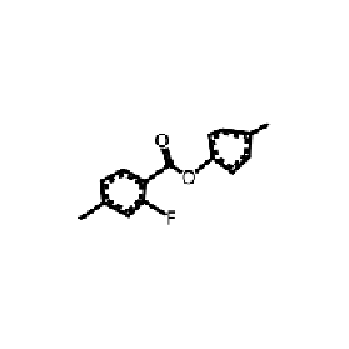 Cc1ccc(OC(=O)c2ccc(C)cc2F)cc1